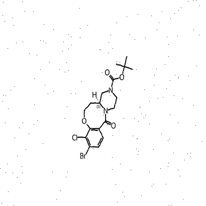 CC(C)(C)OC(=O)N1CCN2C(=O)c3ccc(Br)c(Cl)c3OCC[C@H]2C1